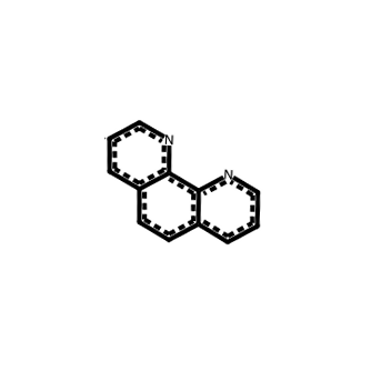 [c]1cnc2c(c1)ccc1cccnc12